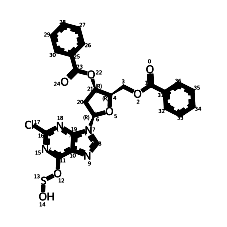 O=C(OC[C@H]1O[C@@H](n2cnc3c(OSO)nc(Cl)nc32)C[C@H]1OC(=O)c1ccccc1)c1ccccc1